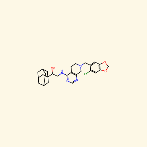 OC(CNc1ncnc2c1CCN(Cc1cc3c(cc1Cl)OCO3)C2)C12CC3CC(CC(C3)C1)C2